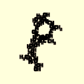 C=C1C[C@@H]2CC[C@]34CC(O)C(O3)[C@@H]3O[C@H]5CC[C@H](CC(=O)C[C@@H]6C[C@@H]7O[C@@H]8C[C@]9(C[C@@H]%10O[C@@]%11(CC[C@@H]%10O9)C[C@H](C)[C@@H]9O[C@@H]%10C[C@@H]([C@@H](O)CO)O[C@@H]%10C[C@@H]9O%11)O[C@@H]8C[C@@H]7O[C@H]6C[C@H]6O[C@@H](CC[C@@H]1O2)C[C@@H](C)C6=C)O[C@@H]5[C@H](O4)[C@@H]3I